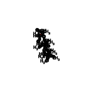 COCc1cc(C2(c3cc(C)c(O)c(COc4cccc5c4-c4ccccc4C5(c4cc(C)c(O)c(COC)c4)c4cc(C)c(O)c(COCC5CCCC(c6cc(C)c(O)c(COc7ccccc7)c6)(c6cc(C)c(O)c(COc7ccccc7)c6)C5)c4)c3)c3ccc(OC)cc3-c3cc(OC)ccc32)cc(C)c1O